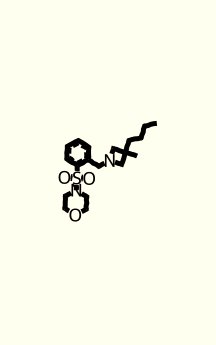 CCCCC1(C)CN(Cc2ccccc2S(=O)(=O)N2CCOCC2)C1